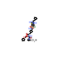 C[C@H](N[C@@H](CCc1ccc(CNS(=O)(=O)c2cc3c(cc2Cl)NC(CCc2ccccc2)NS3)cc1)C(=O)OCCOc1ccccc1)C(=O)N1CCC[C@H]1C(=O)O